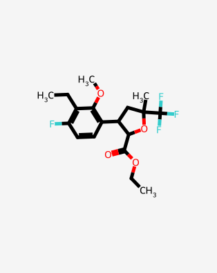 CCOC(=O)C1OC(C)(C(F)(F)F)CC1c1ccc(F)c(CC)c1OC